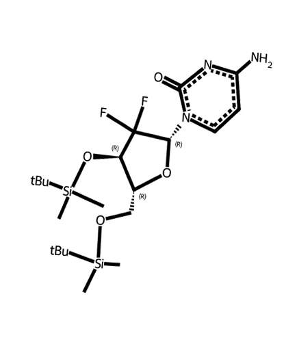 CC(C)(C)[Si](C)(C)OC[C@H]1O[C@@H](n2ccc(N)nc2=O)C(F)(F)[C@@H]1O[Si](C)(C)C(C)(C)C